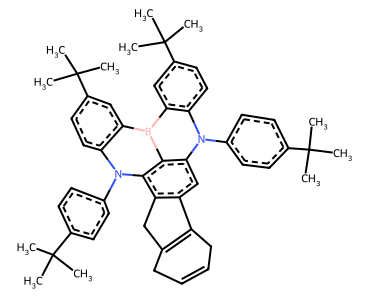 CC(C)(C)c1ccc(N2c3ccc(C(C)(C)C)cc3B3c4cc(C(C)(C)C)ccc4N(c4ccc(C(C)(C)C)cc4)c4c5c(cc2c43)C2=C(CC=CC2)C5)cc1